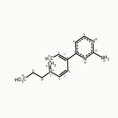 C=[N+](/C=C\C(=C/C)c1ccnc(N)n1)CCC(=O)O